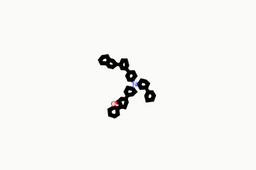 c1ccc(-c2cccc(N(c3ccc(-c4cccc(-c5ccc6ccccc6c5)c4)cc3)c3ccc(-c4ccc5c(c4)oc4ccccc45)cc3)c2)cc1